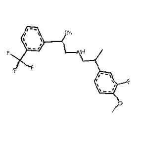 COc1ccc(C(C)CNCC(O)c2cccc(C(F)(F)F)c2)cc1F